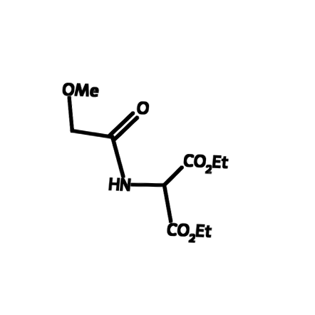 CCOC(=O)C(NC(=O)COC)C(=O)OCC